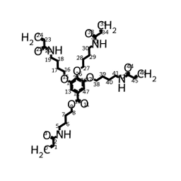 C=CC(=O)NCCCCOC(=O)c1cc(OCCCCNC(=O)C=C)c(OCCCCNC(=O)C=C)c(OCCCCNC(=O)C=C)c1